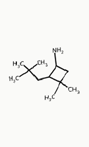 CC(C)(C)CC1C(N)CC1(C)C